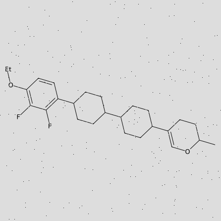 CCOc1ccc(C2CCC(C3CCC(C4=COC(C)CC4)CC3)CC2)c(F)c1F